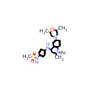 CC(=O)N1c2ccc(N3C[C@@H](C)O[C@@H](C)C3)cc2C(Nc2ccc(NS(C)(=O)=O)cc2)CC1C